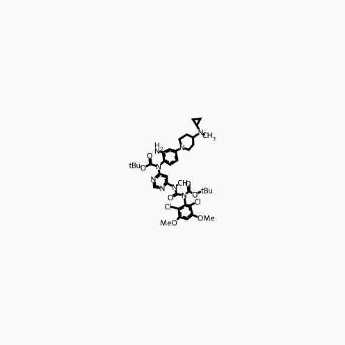 COc1cc(OC)c(Cl)c(N(C(=O)OC(C)(C)C)C(=O)N(C)c2cc(N(C(=O)OC(C)(C)C)c3ccc(N4CCC(N(C)C5CC5)CC4)cc3N)ncn2)c1Cl